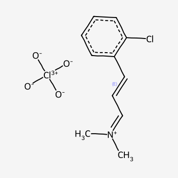 C[N+](C)=C/C=C/c1ccccc1Cl.[O-][Cl+3]([O-])([O-])[O-]